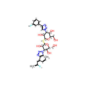 C=C(F)/C=C(\C=C/C)c1cn(C2C(O)[C@@H](CO)OC(S[C@@H]3OC(CO)[C@H](O)C(n4cc(-c5cccc(F)c5)nn4)C3O)[C@@H]2O)nn1